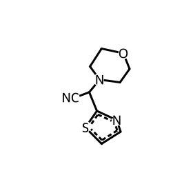 N#CC(c1nccs1)N1CCOCC1